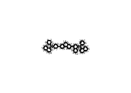 c1ccc(N(c2ccc(-c3ccc4c(ccc5cc(-c6ccc(N(c7ccccc7)c7cccc8ccccc78)c7ccccc67)ccc54)c3)cc2)c2cccc3ccccc23)cc1